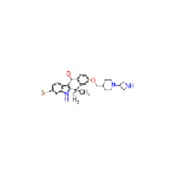 CC1(C)c2cc(OCC3CCN(C4CNC4)CC3)ccc2C(=O)c2c1[nH]c1cc(Br)ccc21